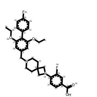 CCOc1cc(CN2CCC3(CC2)CN(c2ccc(C(=O)O)cc2F)C3)cc(OCC)c1-c1ccc(F)cc1